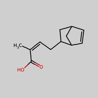 CC(=CCC1CC2C=CC1C2)C(=O)O